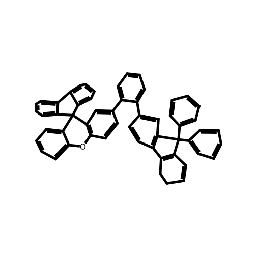 C1=CC2=C(CC1)c1ccc(-c3ccccc3-c3ccc4c(c3)C3(c5ccccc5O4)c4ccccc4-c4ccccc43)cc1C2(c1ccccc1)c1ccccc1